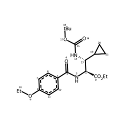 CCOC(=O)[C@@H](NC(=O)c1ccc(OCC)cc1)[C@H](NC(=O)OC(C)(C)C)C1CC1